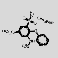 CCCCCCl.CCCCNc1cc(C(=O)O)cc(S(N)(=O)=O)c1Oc1ccccc1